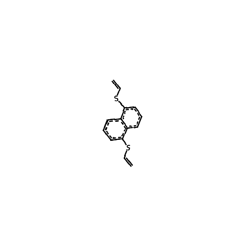 C=CSc1cccc2c(SC=C)cccc12